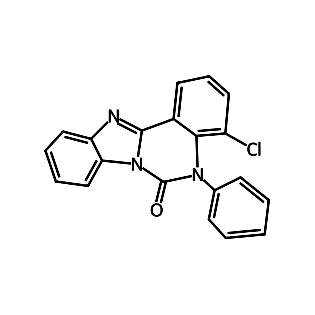 O=c1n(-c2ccccc2)c2c(Cl)cccc2c2nc3ccccc3n12